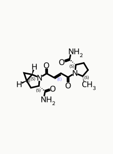 C[C@H]1CC[C@@H](C(N)=O)N1C(=O)/C=C/C(=O)N1[C@H](C(N)=O)C[C@@H]2C[C@@H]21